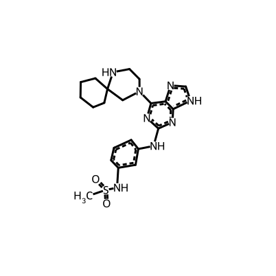 CS(=O)(=O)Nc1cccc(Nc2nc(N3CCNC4(CCCCC4)C3)c3nc[nH]c3n2)c1